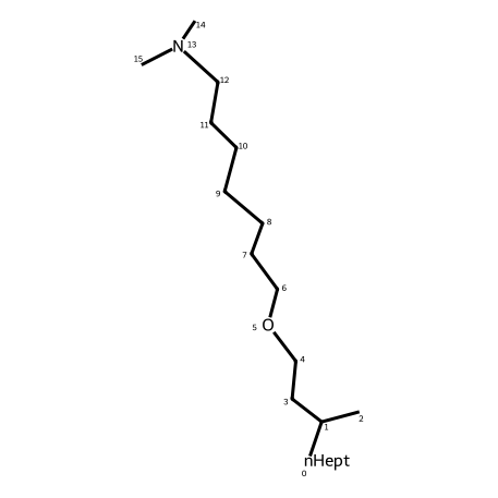 CCCCCCCC(C)CCOCCCCCCCN(C)C